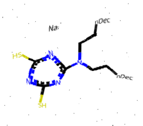 CCCCCCCCCCCCN(CCCCCCCCCCCC)c1nc(S)nc(S)n1.[Na]